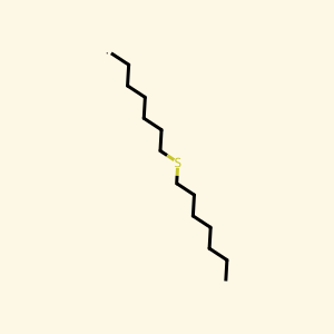 [CH2]CCCCCCSCCCCCCC